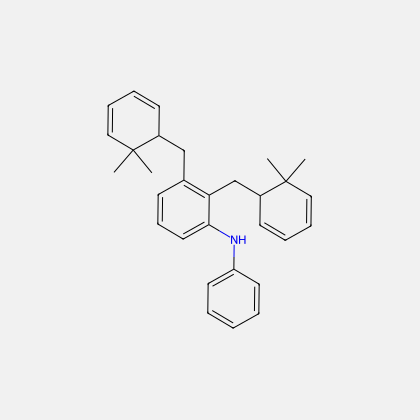 CC1(C)C=CC=CC1Cc1cccc(Nc2ccccc2)c1CC1C=CC=CC1(C)C